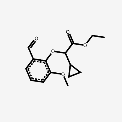 CCOC(=O)C(Oc1c(C=O)cccc1OC)C1CC1